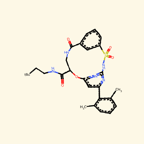 Cc1cccc(C)c1-c1cc2nc(n1)NS(=O)(=O)c1cccc(c1)C(=O)NCC(C(=O)NCCC(C)(C)C)O2